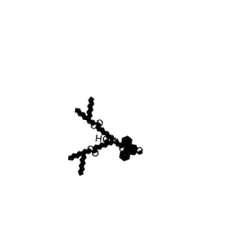 CCCCCCCC(CCCCC)CCOC(=O)CCCCCCN(CCCOC(c1ccccc1)(c1ccccc1)c1ccc(OC)cc1)CC(O)CCCCC(=O)OCCC(CCCCC)CCCCCCC